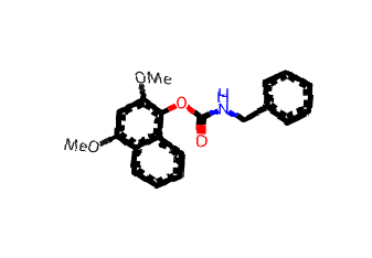 COc1cc(OC)c2ccccc2c1OC(=O)NCc1ccccc1